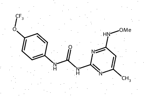 CONc1cc(C)nc(NC(=O)Nc2ccc(OC(F)(F)F)cc2)n1